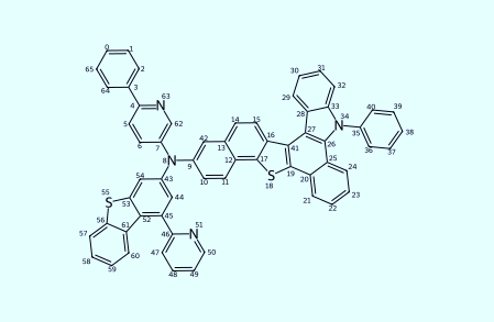 c1ccc(-c2ccc(N(c3ccc4c(ccc5c4sc4c6ccccc6c6c(c7ccccc7n6-c6ccccc6)c54)c3)c3cc(-c4ccccn4)c4c(c3)sc3ccccc34)cn2)cc1